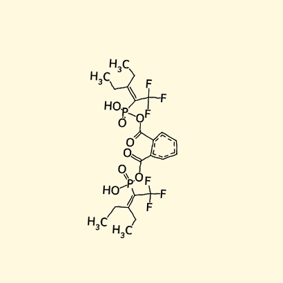 CCC(CC)=C(C(F)(F)F)P(=O)(O)OC(=O)c1ccccc1C(=O)OP(=O)(O)C(=C(CC)CC)C(F)(F)F